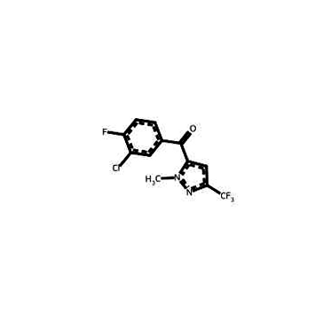 Cn1nc(C(F)(F)F)cc1C(=O)c1ccc(F)c(Cl)c1